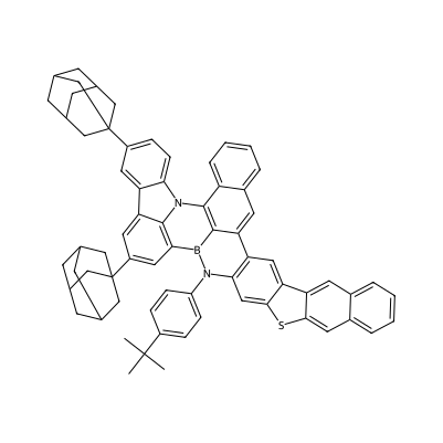 CC(C)(C)c1ccc(N2B3c4c(cc5ccccc5c4-n4c5ccc(C67CC8CC(CC(C8)C6)C7)cc5c5cc(C67CC8CC(CC(C8)C6)C7)cc3c54)-c3cc4c(cc32)sc2cc3ccccc3cc24)cc1